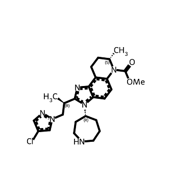 COC(=O)N1c2ccc3c(nc([C@H](C)Cn4cc(Cl)cn4)n3[C@@H]3CCCNCC3)c2CC[C@@H]1C